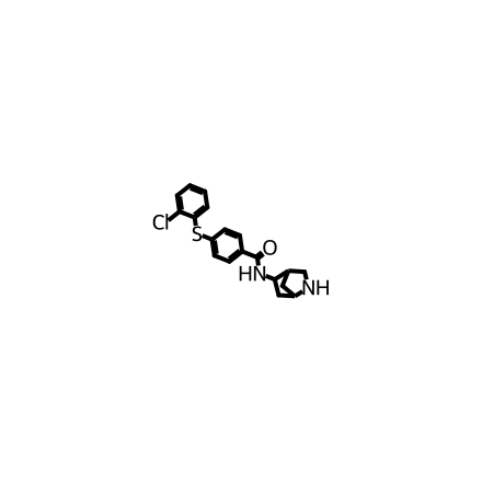 O=C(NC1CC2CC1CN2)c1ccc(Sc2ccccc2Cl)cc1